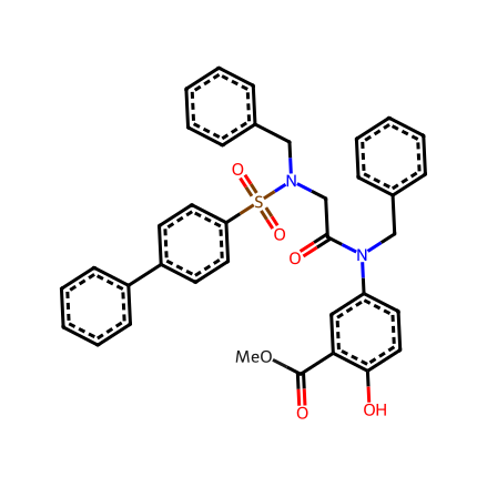 COC(=O)c1cc(N(Cc2ccccc2)C(=O)CN(Cc2ccccc2)S(=O)(=O)c2ccc(-c3ccccc3)cc2)ccc1O